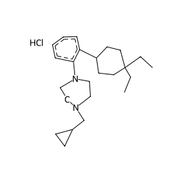 CCC1(CC)CCC(c2ccccc2N2CCN(CC3CC3)CC2)CC1.Cl